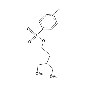 CC(=O)OCC(CCOS(=O)(=O)c1ccc(C)cc1)COC(C)=O